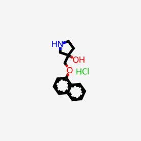 Cl.OC1(COc2cccc3ccccc23)CCNC1